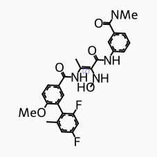 CNC(=O)c1cccc(NC(=O)/C(NO)=C(\C)NC(=O)c2ccc(OC)c(-c3c(C)cc(F)cc3F)c2)c1